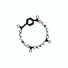 O=C1CCCCC(=O)OCCCCOC(=O)c2ccc(cc2)C(=O)OCCCCO1